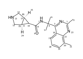 Cc1nc(C(C)(C)NC(=O)C2[C@H]3CNC[C@@H]23)c2cccc(C)c2n1